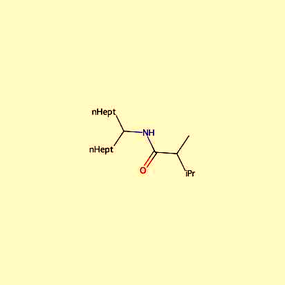 CCCCCCCC(CCCCCCC)NC(=O)C(C)C(C)C